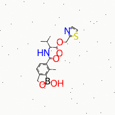 Cc1c(C(=O)N[C@H](C(=O)OCc2nccs2)C(C)C)ccc2c1B(O)OC2